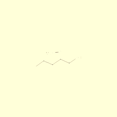 CCCCCO.[Mg+2][Br]